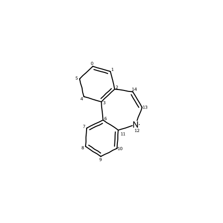 C1=CC2=C(CC1)c1ccccc1[N]C=C2